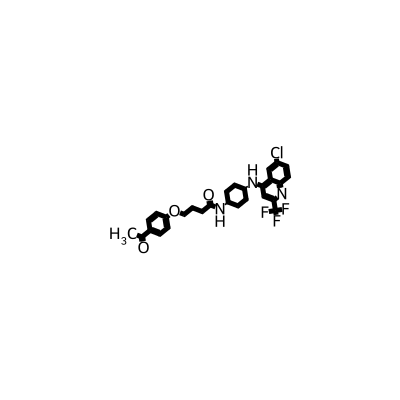 CC(=O)c1ccc(OCCCC(=O)N[C@H]2CC[C@@H](Nc3cc(C(F)(F)F)nc4ccc(Cl)cc34)CC2)cc1